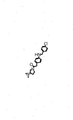 CN(C)[C@H]1CCN(C(=O)Cc2ccc(NCc3ccc(Cl)cc3)cc2)C1